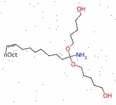 CCCCCCCC/C=C\CCCCCCCC(N)(OCCCCCO)OCCCCCO